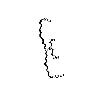 CCCCCCCC/C=C\CCCCCCCCOCCCCCCCC/C=C\CCCCCCCC.OCCNCCO